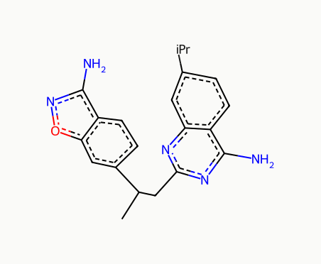 CC(C)c1ccc2c(N)nc(CC(C)c3ccc4c(N)noc4c3)nc2c1